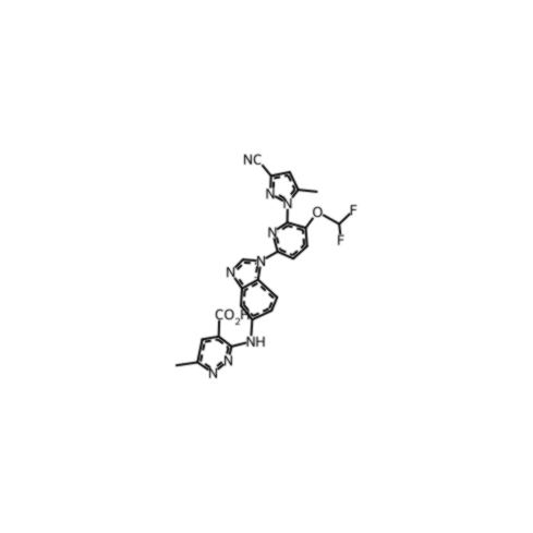 Cc1cc(C(=O)O)c(Nc2ccc3c(c2)ncn3-c2ccc(OC(F)F)c(-n3nc(C#N)cc3C)n2)nn1